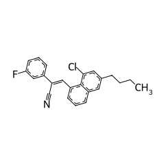 CCCCc1cc(Cl)c2c(C=C(C#N)c3cccc(F)c3)cccc2c1